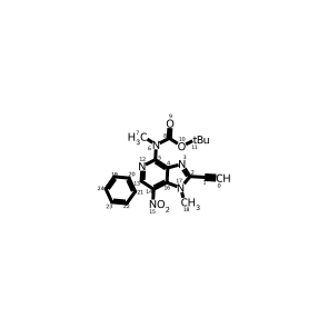 C#Cc1nc2c(N(C)C(=O)OC(C)(C)C)ncc([N+](=O)[O-])c2n1C.c1ccccc1